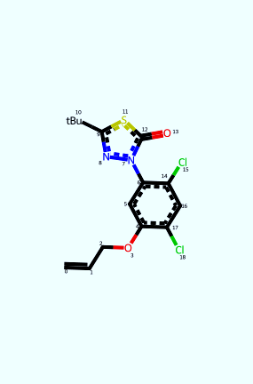 C=CCOc1cc(-n2nc(C(C)(C)C)sc2=O)c(Cl)cc1Cl